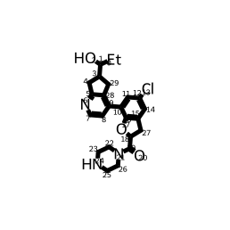 CCC(O)C1Cc2nccc(-c3cc(Cl)cc4c3OC(C(=O)N3CCNCC3)C4)c2C1